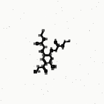 CCOC(=O)COc1cc(O)c(C(=O)CBr)cc1OCC(=O)OCC